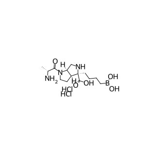 C[C@@H](N)C(=O)N1CC[C@H]2[C@@H]1CN[C@@]2(CCCCB(O)O)C(=O)O.Cl.Cl